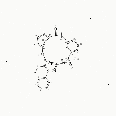 CCc1c2nc(nc1-c1ccccc1)NS(=O)(=O)c1cccc(c1)NC(=O)c1cccc(c1)O2